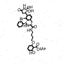 COC(=O)c1c(O)cccc1OCCCCNC(=O)[C@H](Cc1ccc(C2CC(=O)NS2(O)O)c(Br)c1)NSc1ccccc1